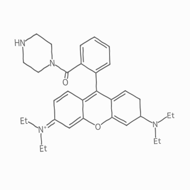 CCN(CC)C1C=c2oc3cc(=[N+](CC)CC)ccc-3c(-c3ccccc3C(=O)N3CCNCC3)c2=CC1